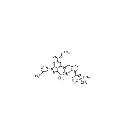 CCOC(=O)c1cc(N2CCC3C(CCN3C(=O)OC(C)(C)C)C2)c2c(C(C)C)nn(-c3cccc(C)c3)c2n1